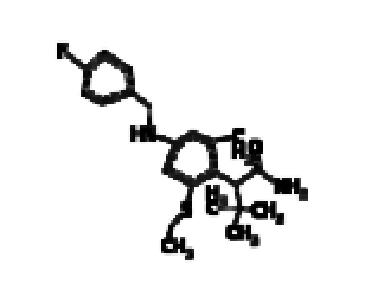 CCSc1cc(NCc2ccc(F)cc2)cc(C)c1C(C(N)=O)C(C)(C)C